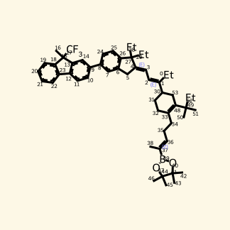 CC/C(=C\C=C1/Cc2cc(-c3ccc4c(c3)C(C)(C(F)(F)F)c3ccccc3-4)ccc2C1(CC)CC)C1CCC(CC/C=C(\C)B2OC(C)(C)C(C)(C)O2)=C(C(C)(C)CC)C1